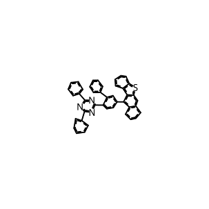 c1ccc(-c2nc(-c3ccccc3)nc(-c3ccc(-c4c5ccccc5cc5sc6ccccc6c45)cc3-c3ccccc3)n2)cc1